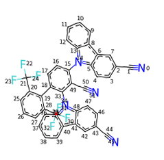 N#Cc1ccc2c(c1)c1ccccc1n2-c1ccc(-c2c(C(F)(F)F)cccc2C(F)(F)F)c(-n2c3ccccc3c3cc(C#N)ccc32)c1C#N